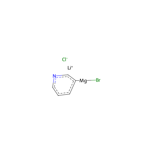 [Br][Mg][c]1cccnc1.[Cl-].[Li+]